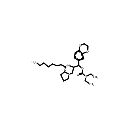 CCCCCCCC(=O)NC(CN1CCCC1)C(OC(=O)N(CC)CC)c1ccc2c(c1)OCCO2